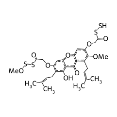 COSSC(=O)COc1cc2oc3cc(OCC(=O)SS)c(OC)c(CC=C(C)C)c3c(=O)c2c(O)c1CC=C(C)C